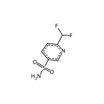 NS(=O)(=O)c1ccc(C(F)F)nc1